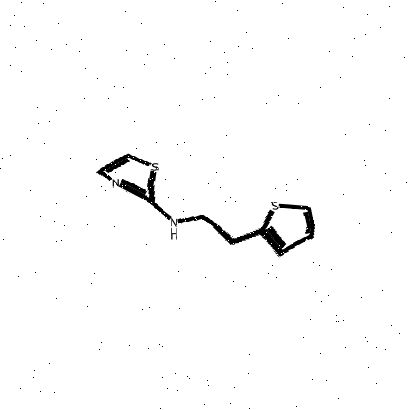 c1csc(CCNc2nccs2)c1